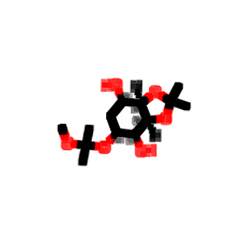 COC(C)(C)O[C@H]1C[C@@H](O)[C@H]2OC(C)(C)O[C@H]2[C@H]1O